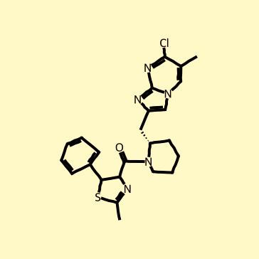 CC1=NC(C(=O)N2CCCC[C@H]2Cc2cn3cc(C)c(Cl)nc3n2)C(c2ccccc2)S1